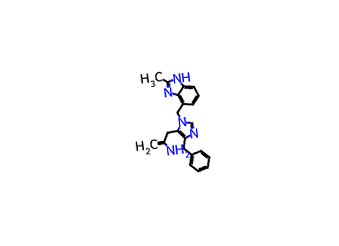 C=C(N)Cc1c(Cc2ccccc2)ncn1Cc1cccc2[nH]c(C)nc12